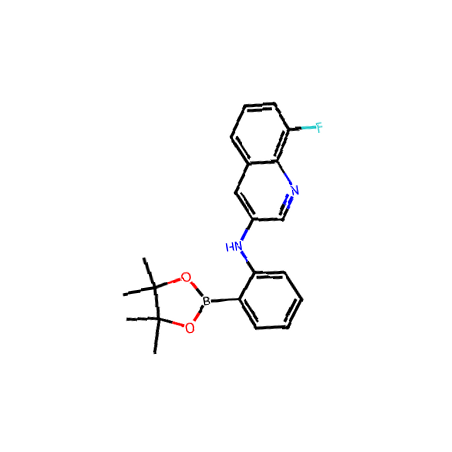 CC1(C)OB(c2ccccc2Nc2cnc3c(F)cccc3c2)OC1(C)C